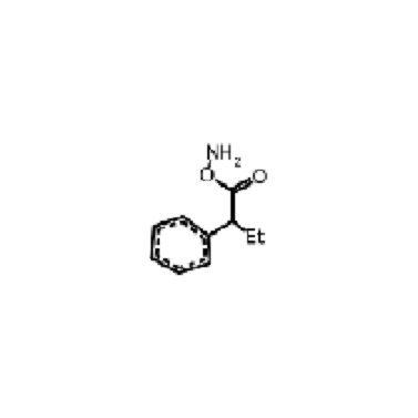 CCC(C(=O)ON)c1ccccc1